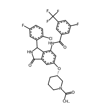 CC(=O)N1CCC[C@H](Oc2cc(NC(=O)c3cc(F)cc(C(F)(F)F)c3)c3c(c2)C(=O)NC3c2cc(F)ccc2Cl)C1